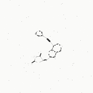 O=C1NC(=S)SC1=Cc1cc2cncc(C#Cc3ccsc3)c2o1